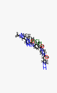 Cl.Cn1c(-c2cn(C3CC3)nc2C(F)(F)F)cnc1C(=O)Nc1ccc(C(=O)N2CCN(C(=O)CC3CCNC3)CC2)c(Cl)c1